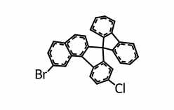 Clc1ccc2c(c1)C1(c3ccccc3-c3ccccc31)c1ccc3ccc(Br)cc3c1-2